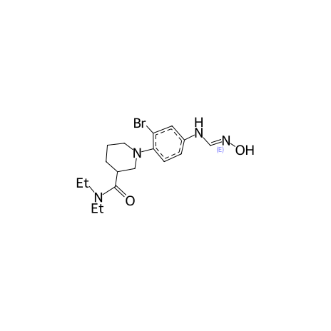 CCN(CC)C(=O)C1CCCN(c2ccc(N/C=N/O)cc2Br)C1